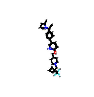 C=C(c1ccc(C2=CNC(OCC3CCN(CC4(C(F)(F)F)CCC4)CC3)C=C2)cc1)N1CCCC1C